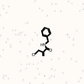 C=C(CCl)C(=O)NCc1ccccc1